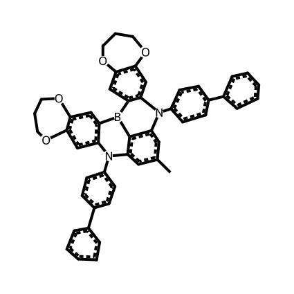 Cc1cc2c3c(c1)N(c1ccc(-c4ccccc4)cc1)c1cc4c(cc1B3c1cc3c(cc1N2c1ccc(-c2ccccc2)cc1)OCCCO3)OCCCO4